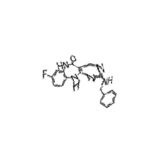 O=C1Nc2cc(F)ccc2Nc2nc(NCc3ccccc3)ncc21